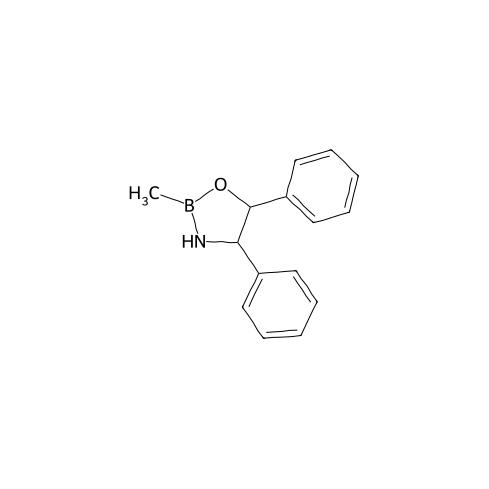 CB1NC(c2ccccc2)C(c2ccccc2)O1